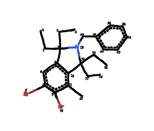 CCC1(CC)c2cc(Br)c(Br)c(C)c2C(CC)(CC)N1Cc1ccccc1